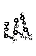 O=C(/C=C/c1ccc(Cn2cc(-c3ccc(CO)cc3)nn2)cc1)NO.O=C(/C=C/c1cccc(Cn2cc(-c3ccccc3)nn2)c1)NO.O=C(/C=C/c1cccc(Cn2cc(-c3cccnc3)nn2)c1)NO